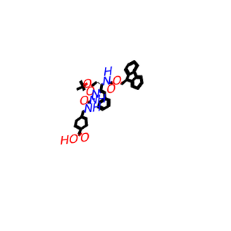 CC(C)(C)OC(=O)C[C@H](NC(=O)OCC1c2ccccc2-c2ccccc21)/C(Cc1ccccc1)=N/NC(=O)NCC1CCC(C(=O)O)CC1